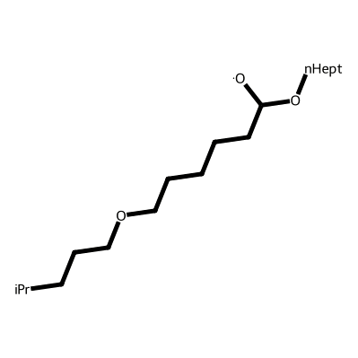 CCCCCCCOC([O])CCCCCOCCCC(C)C